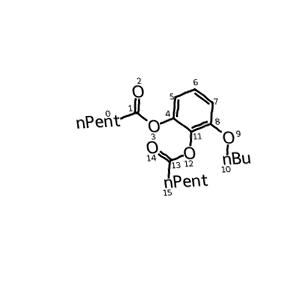 CCCCCC(=O)Oc1cccc(OCCCC)c1OC(=O)CCCCC